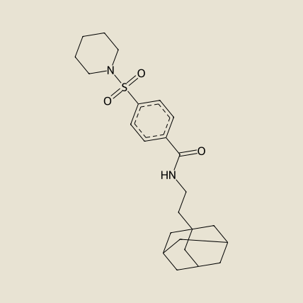 O=C(NCCC12CC3CC(CC(C3)C1)C2)c1ccc(S(=O)(=O)N2CCCCC2)cc1